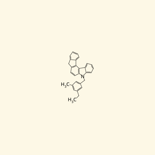 CCc1cc(C)cc(Cn2c3ccccc3c3c4c(ccc32)Cc2ccccc2-4)c1